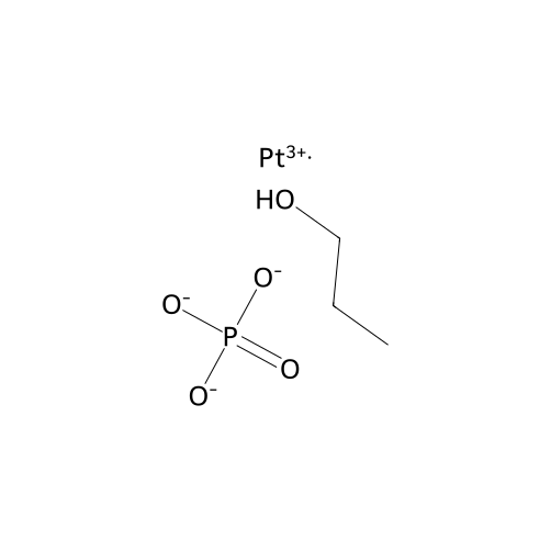 CCCO.O=P([O-])([O-])[O-].[Pt+3]